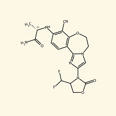 C[C@H](Nc1ccc2c(c1C#N)OCCn1cc(N3C(=O)OCC3C(F)F)nc1-2)C(N)=O